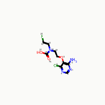 Nc1ncnc(Cl)c1OCCN(CCF)C(=O)O